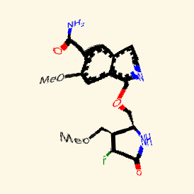 COC[C@@H]1[C@H](F)C(=O)N[C@@H]1COc1nccc2cc(C(N)=O)c(OC)cc12